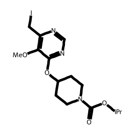 COc1c(CI)ncnc1OC1CCN(C(=O)OC(C)C)CC1